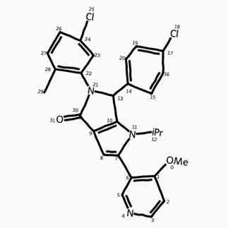 COc1ccncc1-c1cc2c(n1C(C)C)C(c1ccc(Cl)cc1)N(c1cc(Cl)ccc1C)C2=O